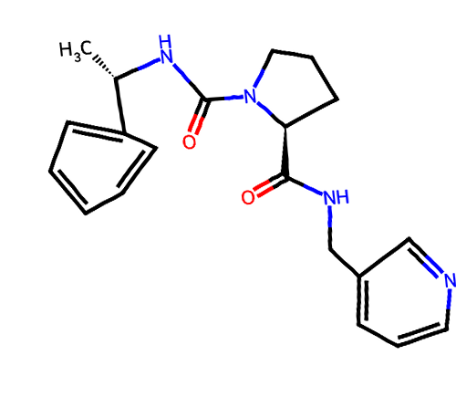 C[C@H](NC(=O)N1CCC[C@H]1C(=O)NCc1cccnc1)c1ccccc1